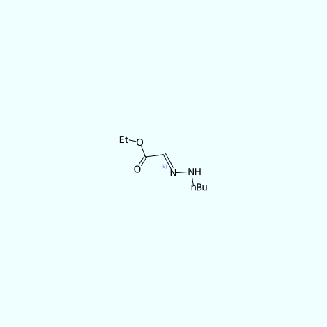 CCCCN/N=C/C(=O)OCC